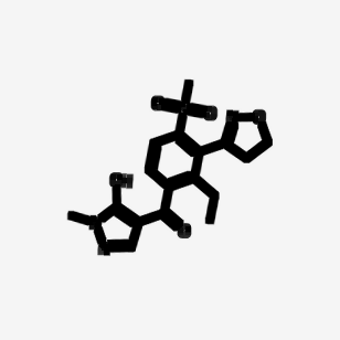 CCc1c(C(=O)c2cnn(C)c2O)ccc(S(C)(=O)=O)c1C1=NOCC1